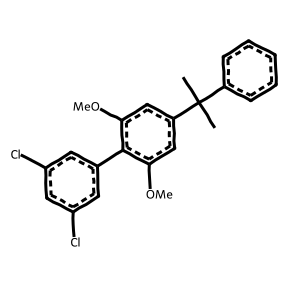 COc1cc(C(C)(C)c2ccccc2)cc(OC)c1-c1cc(Cl)cc(Cl)c1